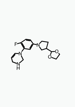 Fc1ccc(N2CCC(C3OCCO3)C2)cc1N1C=CCNC1